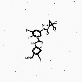 CC(=O)Nc1cc(NC(=O)c2cc(NC(=O)[C@H]3CC3(Cl)Cl)cc(F)c2F)c(F)cc1F